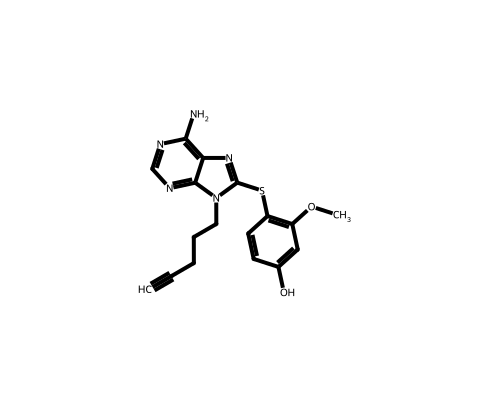 C#CCCCn1c(Sc2ccc(O)cc2OC)nc2c(N)ncnc21